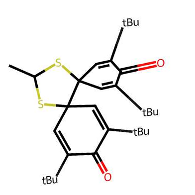 CC1SC2(C=C(C(C)(C)C)C(=O)C(C(C)(C)C)=C2)C2(C=C(C(C)(C)C)C(=O)C(C(C)(C)C)=C2)S1